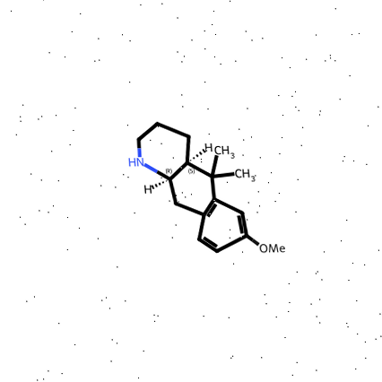 COc1ccc2c(c1)C(C)(C)[C@@H]1CCCN[C@@H]1C2